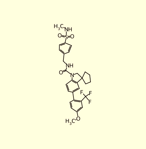 CNS(=O)(=O)c1ccc(CNC(=O)N2CC3(CCCC3)c3cc(-c4ccc(OC)cc4C(F)(F)F)ccc32)cc1